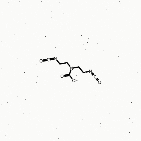 O=C=NCCN(CCN=C=O)C(=O)O